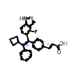 O=C(O)/C=C/c1ccc(/C(=C(\c2ccccc2)C2CCC2)c2ccc3[nH]ncc3c2F)cc1